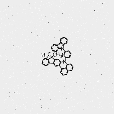 CC1(C)c2ccccc2-c2cc3c(cc21)N(c1cccc(-n2c4ccccc4c4ccccc42)n1)c1cccc2cccc-3c12